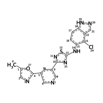 Cc1cnc(-c2cncc(-c3nsc(Nc4ccc5[nH]ncc5c4Cl)n3)c2)o1